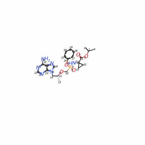 CC(C)OC(=O)C1(NP(=O)(CO[C@H](C)Cn2cnc3c(N)ncnc32)Oc2ccccc2)CC1